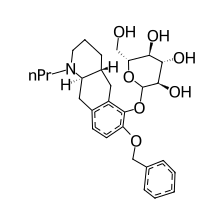 CCCN1CCC[C@@H]2Cc3c(ccc(OCc4ccccc4)c3OC3O[C@H](CO)[C@@H](O)[C@H](O)[C@H]3O)C[C@H]21